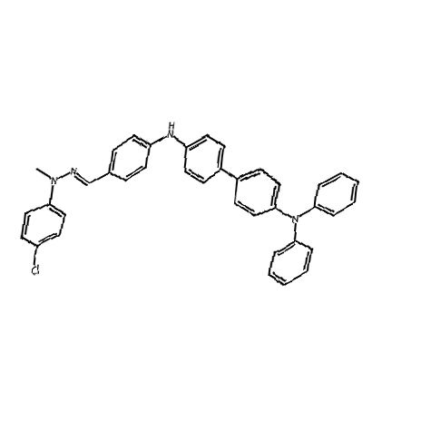 CN(N=Cc1ccc(Nc2ccc(-c3ccc(N(c4ccccc4)c4ccccc4)cc3)cc2)cc1)c1ccc(Cl)cc1